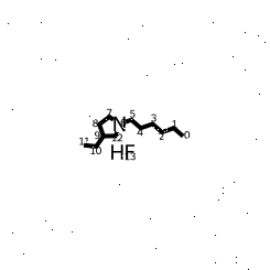 CCCCCCN1CCC(CC)C1.F